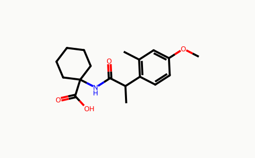 COc1ccc(C(C)C(=O)NC2(C(=O)O)CCCCC2)c(C)c1